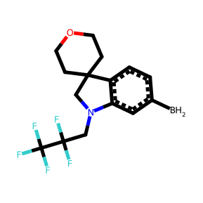 Bc1ccc2c(c1)N(CC(F)(F)C(F)(F)F)CC21CCOCC1